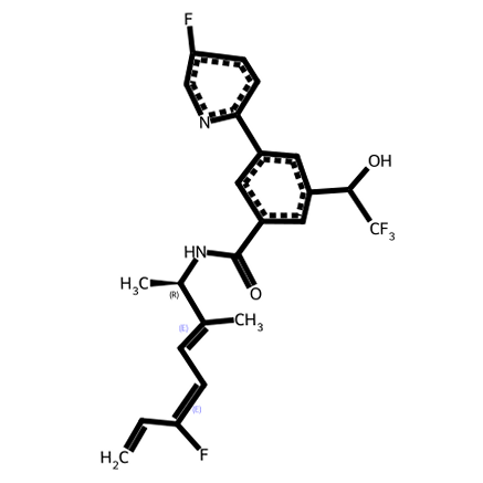 C=C/C(F)=C\C=C(/C)[C@@H](C)NC(=O)c1cc(-c2ccc(F)cn2)cc(C(O)C(F)(F)F)c1